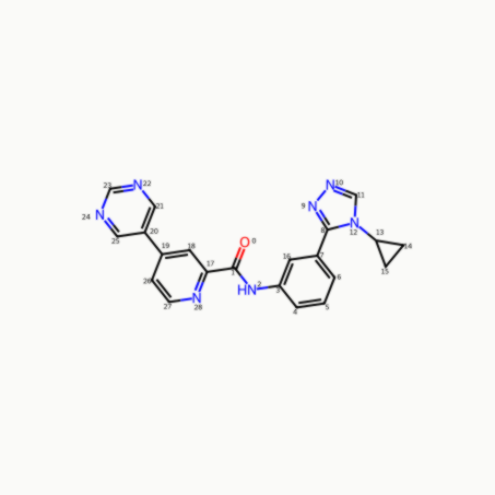 O=C(Nc1cccc(-c2nncn2C2CC2)c1)c1cc(-c2cncnc2)ccn1